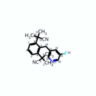 CC(C)(C#N)c1cccc(C(C)(C)C#N)c1Cc1cncc(F)c1